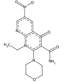 CCn1c(N2CCOCC2)c(C(N)=O)c(=O)c2cc([N+](=O)[O-])cnc21